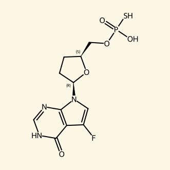 O=c1[nH]cnc2c1c(F)cn2[C@H]1CC[C@@H](COP(=O)(O)S)O1